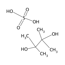 CC(C)(O)C(C)(C)O.O=S(=O)(O)O